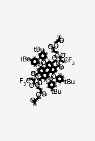 CC(C)(C)c1ccc(Oc2cc3c4c(cc(Oc5ccc(C(C)(C)C)cc5)c5c6c(Oc7ccc(C(C)(C)C)cc7)cc7c8c(cc(Oc9ccc(C(C)(C)C)cc9)c(c2c45)c86)C(=O)N(C(CC(F)(F)F)C(=O)OCCC(=O)OCC2CO2)C7=O)C(=O)N(C(CC(F)(F)F)C(=O)OCCC(=O)OCC2CO2)C3=O)cc1